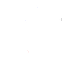 CCc1nccn1CCOc1ccccc1